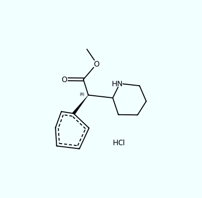 COC(=O)[C@H](c1ccccc1)C1CCCCN1.Cl